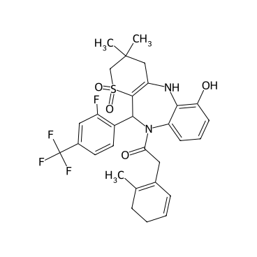 CC1=C(CC(=O)N2c3cccc(O)c3NC3=C(C2c2ccc(C(F)(F)F)cc2F)S(=O)(=O)CC(C)(C)C3)C=CCC1